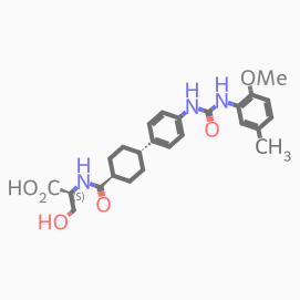 COc1ccc(C)cc1NC(=O)Nc1ccc([C@H]2CC[C@H](C(=O)N[C@@H](CO)C(=O)O)CC2)cc1